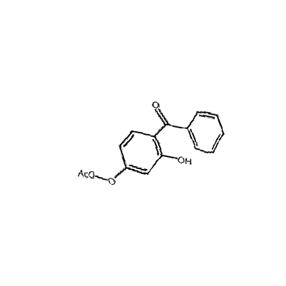 CC(=O)OOc1ccc(C(=O)c2ccccc2)c(O)c1